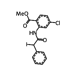 COC(=O)c1ccc(Cl)cc1NC(=O)C(I)c1ccccc1